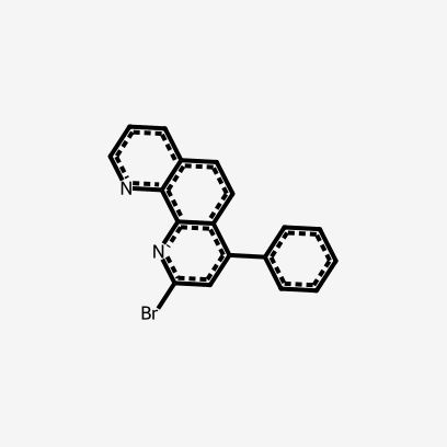 Brc1cc(-c2ccccc2)c2ccc3cccnc3c2n1